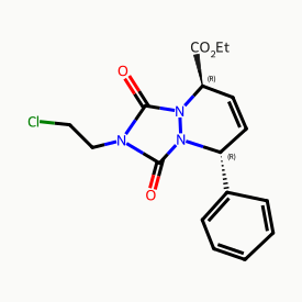 CCOC(=O)[C@H]1C=C[C@H](c2ccccc2)n2c(=O)n(CCCl)c(=O)n21